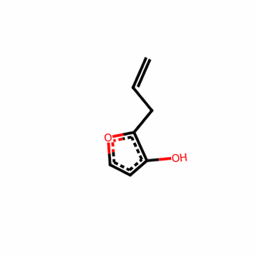 C=CCc1occc1O